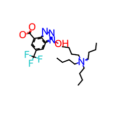 CCCC[N+](CCCC)(CCCC)CCCC.O=C([O-])c1cc(C(F)(F)F)cc2c1nnn2O